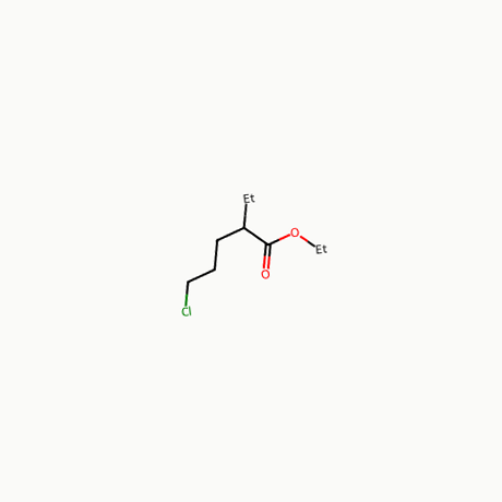 [CH2]CC(CCCCl)C(=O)OCC